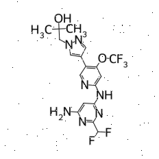 CC(C)(O)Cn1cc(-c2cnc(Nc3cc(N)nc(C(F)F)n3)cc2OC(F)(F)F)cn1